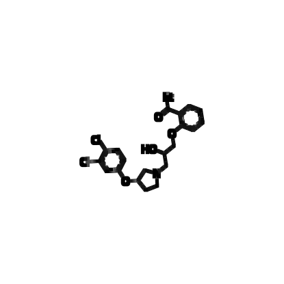 CCC(=O)c1ccccc1OCC(O)CN1CCC(Oc2ccc(Cl)c(Cl)c2)C1